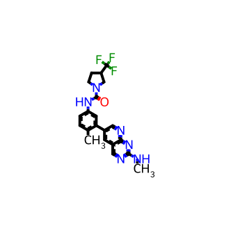 CNc1ncc2cc(-c3cc(NC(=O)N4CCC(C(F)(F)F)C4)ccc3C)cnc2n1